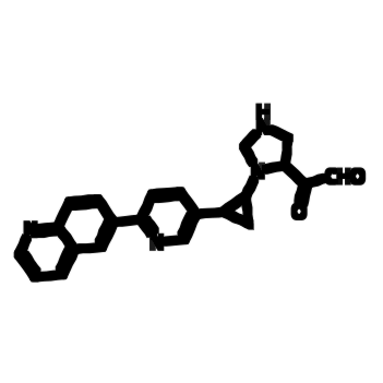 O=CC(=O)C1CNCN1C1CC1c1ccc(-c2ccc3ncccc3c2)nc1